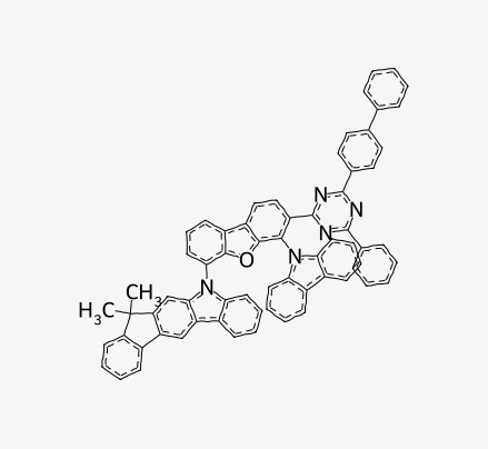 CC1(C)c2ccccc2-c2cc3c4ccccc4n(-c4cccc5c4oc4c(-n6c7ccccc7c7ccccc76)c(-c6nc(-c7ccccc7)nc(-c7ccc(-c8ccccc8)cc7)n6)ccc45)c3cc21